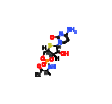 CCC(=O)[C@H](C)NP1(=O)OC[C@H]2S[C@@H](n3ccc(N)nc3=O)[C@@H](O)[C@@H]2O1